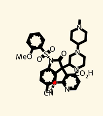 CCOc1ncccc1C1(C2CN(C3CCN(C)CC3)CCN2C(=O)O)C(=O)N(S(=O)(=O)c2ccccc2OC)c2ccc(C#N)cc21